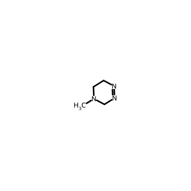 CN1CCN=NC1